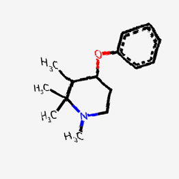 CC1C(Oc2ccccc2)CCN(C)C1(C)C